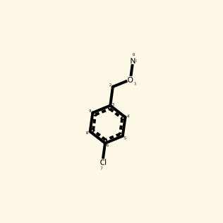 [N]OCc1ccc(Cl)cc1